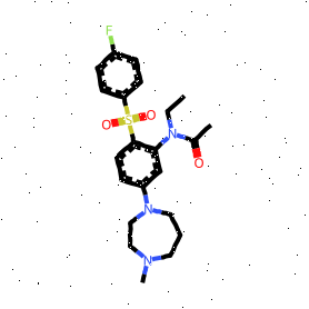 CCN(C(C)=O)c1cc(N2CCCN(C)CC2)ccc1S(=O)(=O)c1ccc(F)cc1